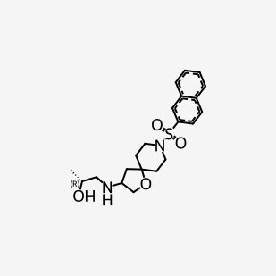 C[C@@H](O)CNC1COC2(CCN(S(=O)(=O)c3ccc4ccccc4c3)CC2)C1